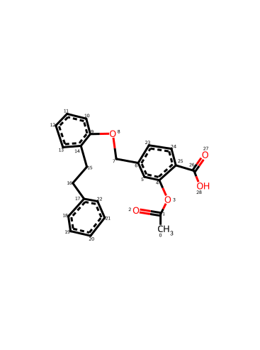 CC(=O)Oc1cc(COc2ccccc2CCc2ccccc2)ccc1C(=O)O